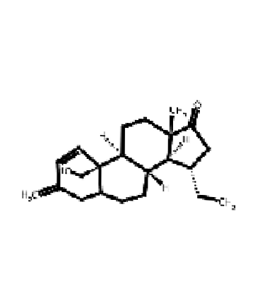 C=C1C=C[C@@]2(CO)C(CC[C@H]3[C@@H]4[C@@H](CC)CC(=O)[C@@]4(C)CC[C@@H]32)C1